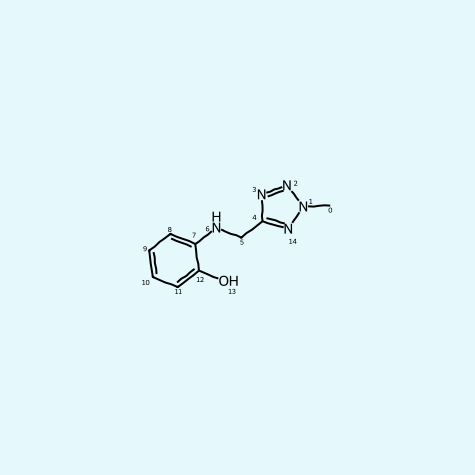 Cn1nnc(CNc2ccccc2O)n1